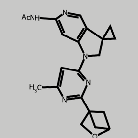 CC(=O)Nc1cc2c(cn1)C1(CC1)CN2c1cc(C)nc(C23COC(C2)C3)n1